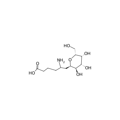 NC(CCCC(=O)O)C[C@H]1O[C@H](CO)[C@H](O)[C@H](O)[C@H]1O